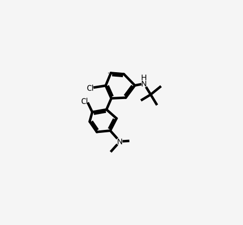 CN(C)c1ccc(Cl)c(-c2cc(NC(C)(C)C)c[c]c2Cl)c1